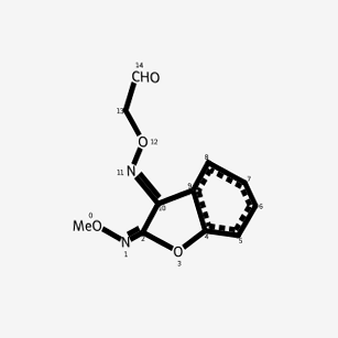 CON=C1Oc2ccccc2C1=NOCC=O